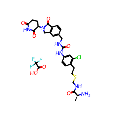 C[C@H](N)C(=O)NCSCCc1ccc(NC(=O)NCc2ccc3c(c2)CN(C2CCC(=O)NC2=O)C3=O)cc1Cl.O=C(O)C(F)(F)F